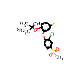 CC(C)(Oc1ccc(F)cc1Oc1ccc(S(C)(=O)=O)cc1Cl)C(=O)O